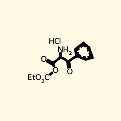 CCOC(=O)OC(=O)C(N)C(=O)c1ccccc1.Cl